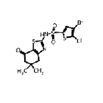 CC1(C)CC(=O)c2sc(NS(=O)(=O)c3cc(Br)c(Cl)s3)nc2C1